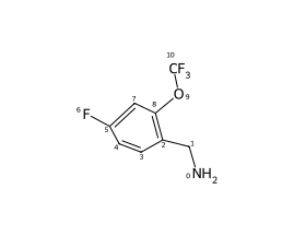 NCc1ccc(F)cc1OC(F)(F)F